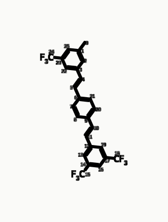 Cc1cc(/C=C/c2ccc(/C=C/c3cc(C(F)(F)F)cc(C(F)(F)F)c3)cc2)cc(C(F)(F)F)c1